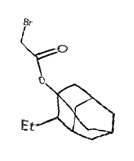 CCC1C2CC3CC(C2)CC1(OC(=O)CBr)C3